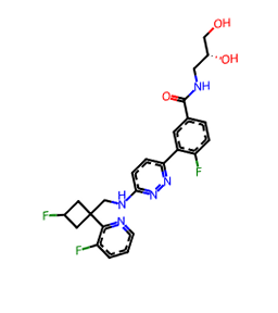 O=C(NC[C@@H](O)CO)c1ccc(F)c(-c2ccc(NCC3(c4ncccc4F)CC(F)C3)nn2)c1